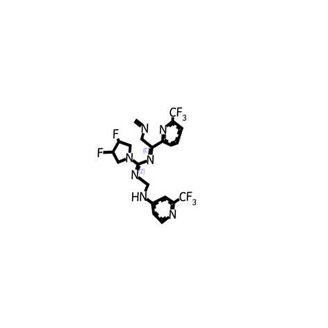 C=NC/C(=N\C(=N/CNc1ccnc(C(F)(F)F)c1)N1CC(F)C(F)C1)c1cccc(C(F)(F)F)n1